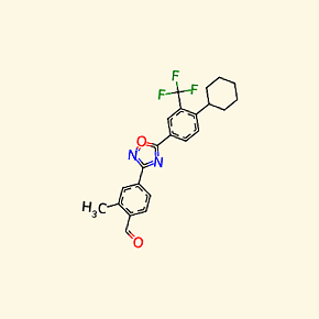 Cc1cc(-c2noc(-c3ccc(C4CCCCC4)c(C(F)(F)F)c3)n2)ccc1C=O